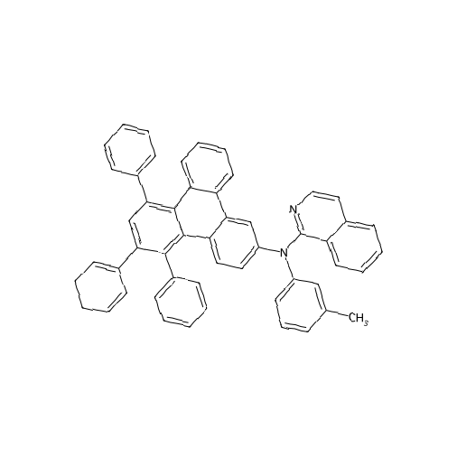 Cc1cccc(N(c2ccc3c(c2)c2ccccc2c2c(-c4ccccc4)cc(C4=CCCC=C4)c(-c4ccccc4)c32)c2nccc3ccccc23)c1